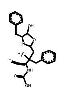 CC(Cc1ccccc1)(CC1NC(Cc2ccccc2)C(O)O1)C(=C=O)NC(=O)O